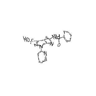 O=C(Nc1nc2c(s1)c(C(=O)O)nn2-c1ccccn1)c1ccccc1